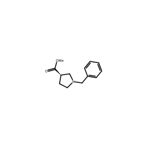 COC(=O)[C@@H]1CCN(Cc2ccccc2)C1